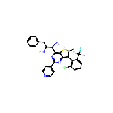 Cc1sc2c(C(N)C(N)Cc3ccccc3)nc(-c3ccncc3)nc2c1-c1c(Cl)cccc1C(F)(F)F